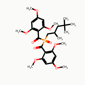 COc1cc(OC)c(C(=O)P(=O)(CC(C)CC(C)(C)C)C(=O)c2c(OC)cc(OC)cc2OC)c(OC)c1